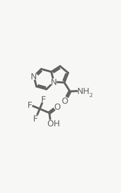 NC(=O)c1ccc2cnccn12.O=C(O)C(F)(F)F